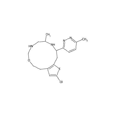 Cc1ccc(C2Cc3sc(Cl)cc3CCOCNCC(C)N2)nn1